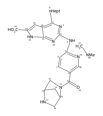 CCCCCCCc1nc(Nc2ccc(C(=O)N3CC4CC3CN4)cn2)nc2[nH]c(C(=O)O)cc12.CNC